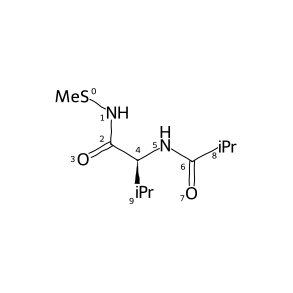 CSNC(=O)[C@@H](NC(=O)C(C)C)C(C)C